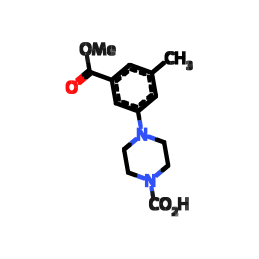 COC(=O)c1cc(C)cc(N2CCN(C(=O)O)CC2)c1